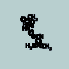 COc1cc2nccc(Oc3ccc(NC(=S)NC(=O)[C@H](C)c4ccccc4)cc3)c2cc1OC